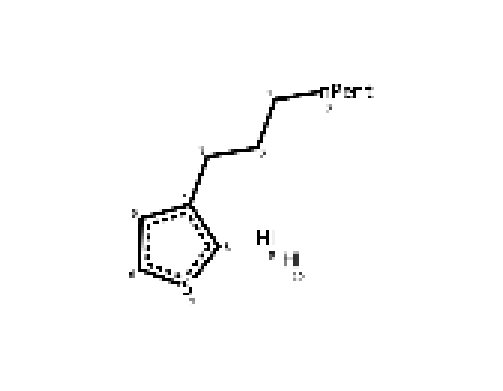 CCCCCCCCc1ccsc1.I.I